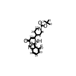 CC(C)(C)OC(=O)N1CCC(c2cc(=O)n3nc4cccc(F)c4c3[nH]2)CC1